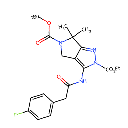 CCOC(=O)n1nc2c(c1NC(=O)Cc1ccc(F)cc1)CN(C(=O)OC(C)(C)C)C2(C)C